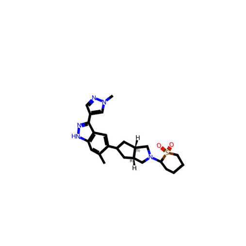 Cc1cc2[nH]nc(-c3cnn(C)c3)c2cc1C1C[C@@H]2CN(C3CCCCS3(=O)=O)C[C@@H]2C1